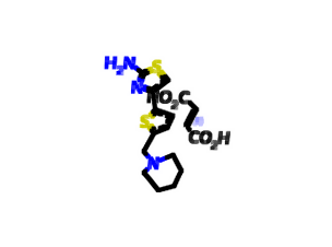 Nc1nc(-c2ccc(CN3CCCCC3)s2)cs1.O=C(O)/C=C/C(=O)O